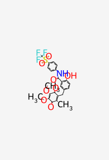 COC1=C(OC)C(=O)C(Cc2ccc(O)c(C(=O)Nc3ccc(S(=O)(=O)C(F)(F)F)cc3)c2)=C(C)C1=O